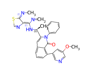 C=N/C(N[C@@H](C)c1cc2cccc(-c3cncc(OC)c3)c2c(=O)n1-c1ccccc1)=C1/N=CS/C1=N/C